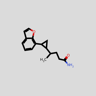 CC(CCC(N)=O)C1CC1c1cccc2ccoc12